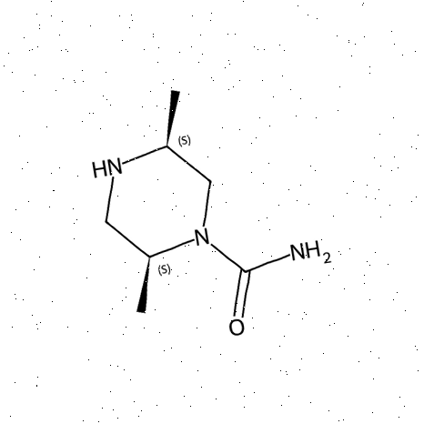 C[C@H]1CN(C(N)=O)[C@@H](C)CN1